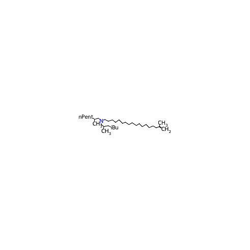 C=C(C)CCCCCCCCCCCCCCCCN(CC(C)CCCCC)CC(C)CC(C)CC